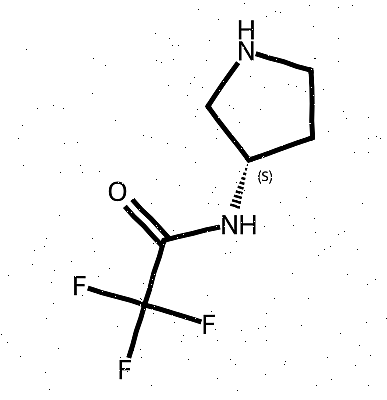 O=C(N[C@H]1CCNC1)C(F)(F)F